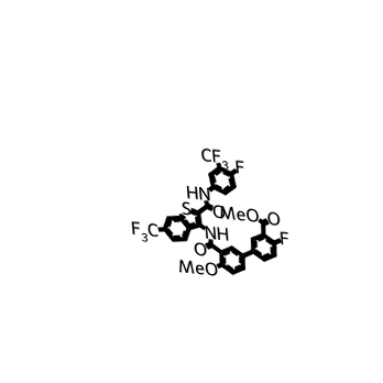 COC(=O)c1cc(-c2ccc(OC)c(C(=O)Nc3c(C(=O)Nc4ccc(F)c(C(F)(F)F)c4)sc4cc(C(F)(F)F)ccc34)c2)ccc1F